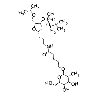 CC(C)OC[C@H]1O[C@@H](CCCNC(=O)CCCCO[C@@H]2O[C@H](CO)[C@H](O)[C@H](O)[C@H]2C)CC1OP(=O)(O)OC(C)(C)C